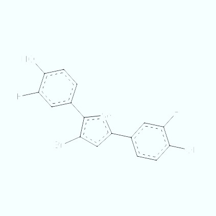 Oc1ccc(-c2cc(Br)c(-c3ccc(O)c(F)c3)[se]2)cc1F